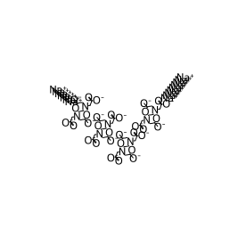 O=C([O-])CN(CCN(CC(=O)[O-])CC(=O)[O-])CC(=O)[O-].O=C([O-])CN(CCN(CC(=O)[O-])CC(=O)[O-])CC(=O)[O-].O=C([O-])CN(CCN(CC(=O)[O-])CC(=O)[O-])CC(=O)[O-].O=C([O-])CN(CCN(CC(=O)[O-])CC(=O)[O-])CC(=O)[O-].[Na+].[Na+].[Na+].[Na+].[Na+].[Na+].[Na+].[Na+].[Na+].[Na+].[Na+].[Na+].[Na+].[Na+].[Na+].[Na+]